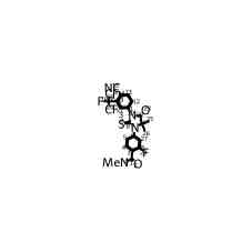 CNC(=O)c1ccc(N2C(=S)N(c3ccc(C#N)c(C(F)(C(F)(F)F)C(F)(F)F)c3)C(=O)C2(C)C)cc1F